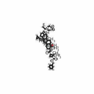 CC1([C@@H]2CC[C@]3(NC[C@H](CF)N4CCS(=O)(=O)CC4)CC[C@]4(C)[C@H](CC[C@@H]5[C@@]6(C)CC[C@H](OC(=O)[C@H]7C[C@@H](C(=O)OCc8ccccc8)C7(C)C)C(C)(C)[C@@H]6CC[C@]54C)[C@@H]23)CC1